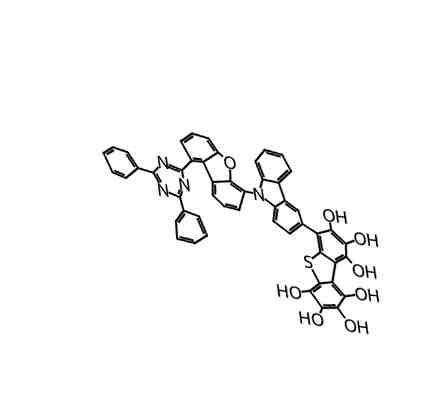 Oc1c(O)c(O)c2c(sc3c(-c4ccc5c(c4)c4ccccc4n5-c4cccc5c4oc4cccc(-c6nc(-c7ccccc7)nc(-c7ccccc7)n6)c45)c(O)c(O)c(O)c32)c1O